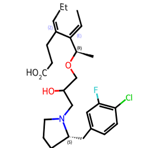 C/C=C(\C(=C/CC)CCC(=O)O)[C@@H](C)OCC(O)CN1CCC[C@H]1Cc1ccc(Cl)c(F)c1